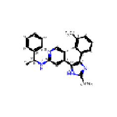 CNc1nc(-c2cccc(C(F)(F)F)c2)c(-c2ccnc(N[C@@H](C)c3ccccc3)c2)[nH]1